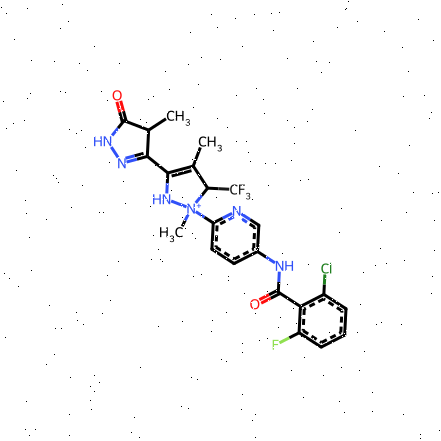 CC1=C(C2=NNC(=O)C2C)N[N+](C)(c2ccc(NC(=O)c3c(F)cccc3Cl)cn2)C1C(F)(F)F